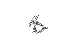 C[C@H]1C[C@H]2C(=O)O[C@@H](C)[C@H](NC(=O)[C@H](Cc3cc(F)cc(F)c3)NC(=O)Nc3ccc4c(c3)CCN4C)C(=O)N3CCC[C@H]3C(=O)N(C)[C@@H]([C@H](C)O)C(=O)N[C@@H](C)C(=O)N2C1